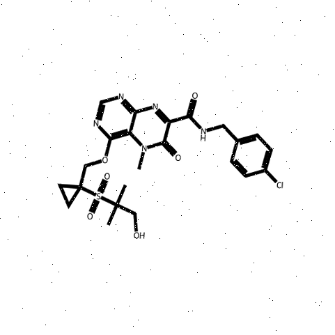 Cn1c(=O)c(C(=O)NCc2ccc(Cl)cc2)nc2ncnc(OCC3(S(=O)(=O)C(C)(C)CO)CC3)c21